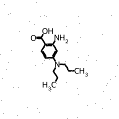 CCCN(CCC)c1ccc(C(=O)O)c(N)c1